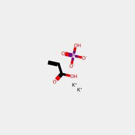 C=CC(=O)O.O=P([O-])([O-])O.[K+].[K+]